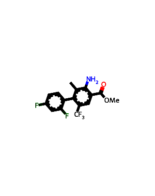 COC(=O)c1cc(C(F)(F)F)c(-c2ccc(F)cc2F)c(C)c1N